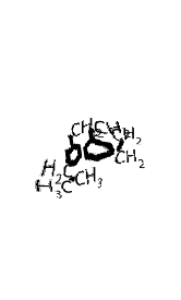 C=C(C)C.C=CC=C.C=Cc1ccccc1.C=Cc1ccccc1